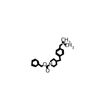 CN(C)Cc1ccc(CC2CCN(C(=O)OCc3ccccc3)CC2)cc1